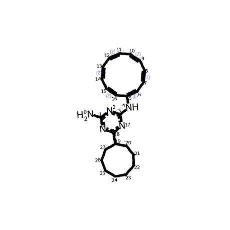 Nc1nc(NC2=C/C=C\C=C/C=C\C=C/C=C\2)nc(C2CCCCCCCC2)n1